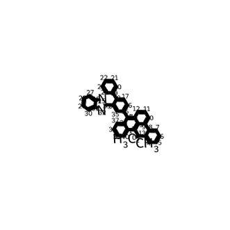 CC1(C)c2ccccc2-c2cccc3c(-c4ccc5c6ccccc6n6c7ccccc7nc6c5c4)c4ccccc4c1c23